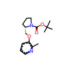 Cc1ncccc1OC[C@@H]1CCCN1C(=O)OC(C)(C)C